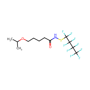 CC(C)OCCCCC(=O)NSC(F)(F)C(F)(F)C(F)(F)C(F)(F)F